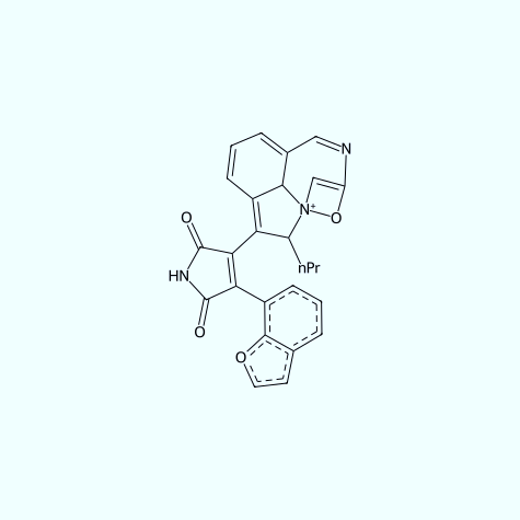 CCCC1C(C2=C(c3cccc4ccoc34)C(=O)NC2=O)=C2C=CC=C3C=NC4=C[N+]1(O4)C32